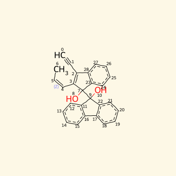 C#CC1=C(/C=C\C)C(O)(C2(O)c3ccccc3-c3ccccc32)c2ccccc21